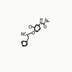 CN(C)C(=O)Nc1ccc(OCC(C#N)Cc2ccccc2)c(Cl)c1